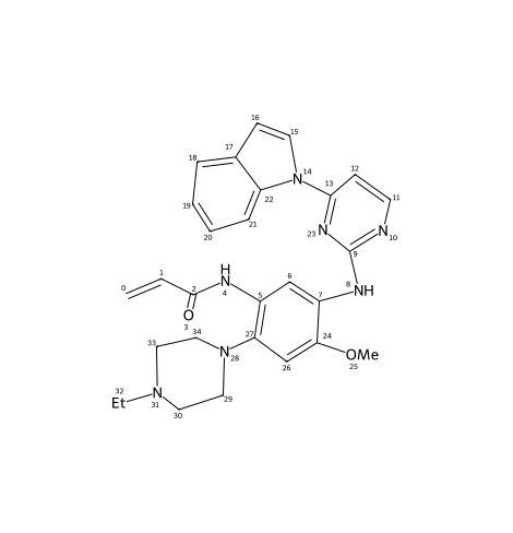 C=CC(=O)Nc1cc(Nc2nccc(-n3ccc4ccccc43)n2)c(OC)cc1N1CCN(CC)CC1